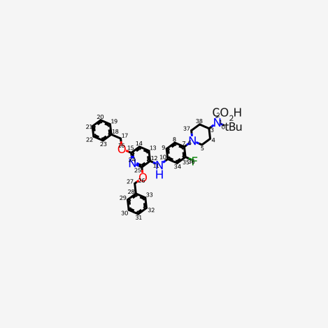 CC(C)(C)N(C(=O)O)C1CCN(c2ccc(Nc3ccc(OCc4ccccc4)nc3OCc3ccccc3)cc2F)CC1